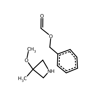 COC1(C)CNC1.O=COCc1ccccc1